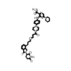 NC(=O)c1ncc(N2CCCCC2)nc1Nc1ccc(N2CCN(C(=O)CCOCCCc3cccc4c3CN(C3CCC(=O)NC3=O)C4=O)CC2)cc1